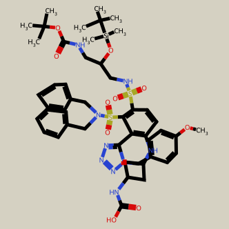 COc1ccc(Cn2nnnc2-c2c(NC3CC(NC(=O)O)C3)ccc(S(=O)(=O)NCC(CNC(=O)OC(C)(C)C)O[Si](C)(C)C(C)(C)C)c2S(=O)(=O)N(Cc2ccccc2)Cc2ccccc2)cc1